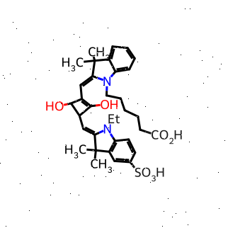 CCN1C(=CC2C(O)=C(C=C3N(CCCCCC(=O)O)c4ccccc4C3(C)C)C2O)C(C)(C)c2cc(S(=O)(=O)O)ccc21